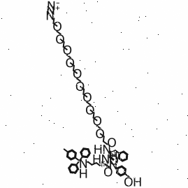 Cc1ccc(C(NCCCC[C@H](NC(=O)[C@H](Cc2ccccc2)NC(=O)CCOCCOCCOCCOCCOCCOCCOCCOCCOCCOCCN=[N+]=[N-])C(=O)Nc2ccc(CO)cc2)(c2ccccc2)c2ccccc2)cc1